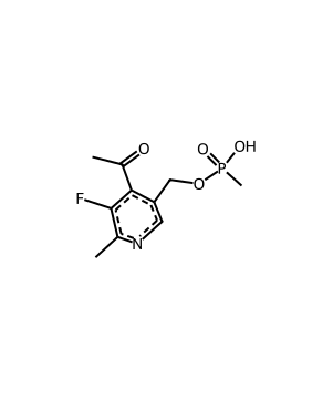 CC(=O)c1c(COP(C)(=O)O)cnc(C)c1F